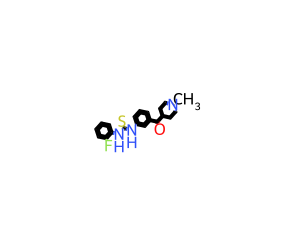 CN1CCC(C(=O)c2cccc(NC(=S)Nc3ccccc3F)c2)CC1